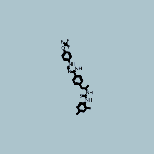 Cc1ccc(NC(=S)NC(C)Cc2ccc(C(=N)/N=C\Nc3ccc(OC(F)(F)F)cc3)cc2)c(C)c1